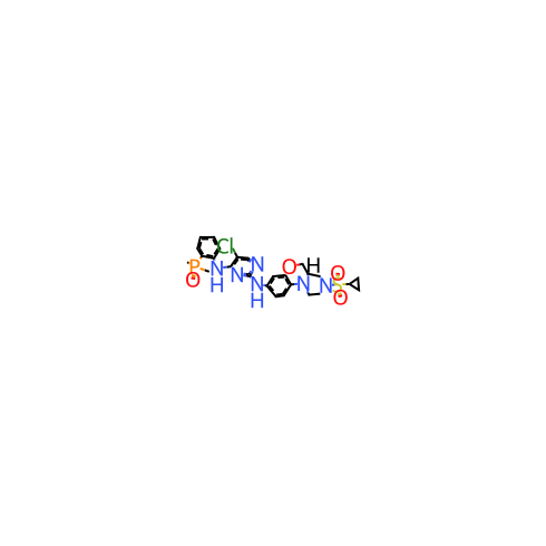 CP(C)(=O)c1ccccc1Nc1nc(Nc2ccc3c(c2)OC[C@@H]2CN(S(=O)(=O)C4CC4)CCN32)ncc1Cl